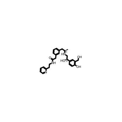 C[C@H](Cc1cccc(CC(=O)NCCc2ccccn2)c1)NC[C@H](O)c1ccc(O)c(CO)c1